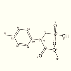 COC(=O)N(CS(=O)(=O)O)c1ccc(C)cc1